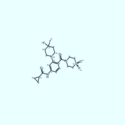 O=C(Nc1ccc(C(=O)N2CCS(=O)(=O)CC2)c(N2CCC(F)(F)CC2)c1)C1CC1